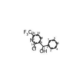 OC(c1ccccc1)c1ccc(C(F)(F)F)nc1Cl